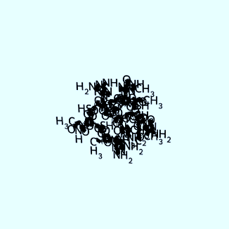 CCC[C@H]1O[C@@H](n2cnc3c(N)nc(N)nc32)C[C@H]1OP(=O)(S)OC[C@H]1O[C@@H](n2cc(C)c(=O)[nH]c2=O)C[C@H]1OP(=O)(S)OC[C@H]1O[C@@H](n2cnc3c(N)nc(N)nc32)C(OCCOC)[C@H]1OP(=O)(O)OC[C@H]1O[C@@H](n2cc(C)c(N)nc2=O)C(OCCOC)[C@H]1OP(=O)(S)OC[C@H]1O[C@@H](n2cnc3c(=O)[nH]c(C)nc32)C(OCCOC)[C@H]1OP(=O)(S)OC[C@H]1O[C@@H](n2cc(C)c(N)nc2=O)C(OCCOC)[C@H]1O